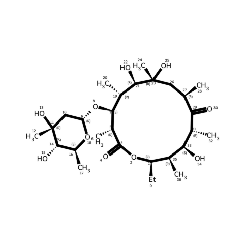 CC[C@H]1OC(=O)[C@H](C)[C@@H](O[C@H]2C[C@@](C)(O)[C@@H](O)[C@H](C)O2)[C@H](C)[C@@H](O)[C@](C)(O)C[C@@H](C)C(=O)[C@H](C)[C@@H](O)[C@H]1C